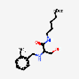 CCCCCCCCCCCCCCNC(=O)C(CO)NCc1ccccc1[N+](=O)[O-]